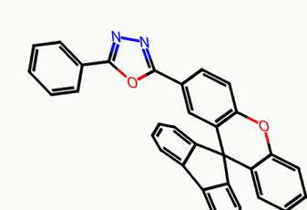 c1ccc(-c2nnc(-c3ccc4c(c3)C3(c5ccccc5O4)c4ccccc4-c4ccccc43)o2)cc1